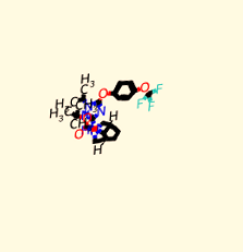 CC(C)n1nc(NC2[C@@H]3CC[C@H]2CN(C(=O)OC(C)(C)C)C3)nc1Oc1ccc(OC(F)(F)F)cc1